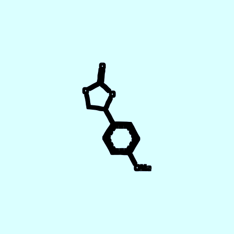 COc1ccc(C2COC(=O)O2)cc1